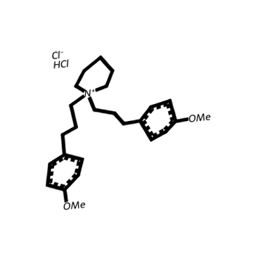 COc1ccc(CCC[N+]2(CCCc3ccc(OC)cc3)CCCCC2)cc1.Cl.[Cl-]